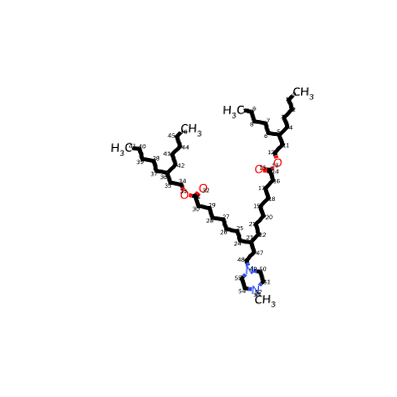 CCCCCC(CCCCC)CCOC(=O)CCCCCCCC(CCCCCCCC(=O)OCCC(CCCCC)CCCCC)CCN1CCN(C)CC1